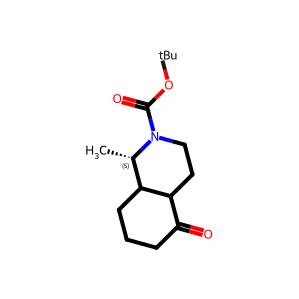 C[C@H]1C2CCCC(=O)C2CCN1C(=O)OC(C)(C)C